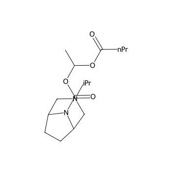 CCCC(=O)OC(C)OC(=O)N1C2CCC1CN(C(C)C)C2